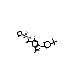 Cc1nn(C2CCC(C(C)(C)C)CC2)c2cc(F)c(C(=O)NS(=O)(=O)N3CCC3)cc12